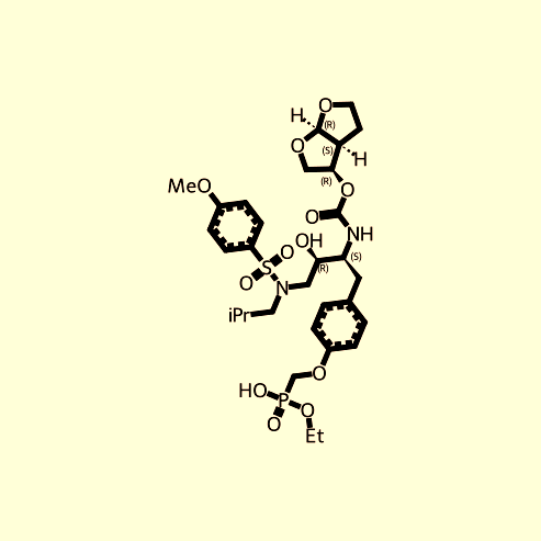 CCOP(=O)(O)COc1ccc(C[C@H](NC(=O)O[C@H]2CO[C@H]3OCC[C@H]32)[C@H](O)CN(CC(C)C)S(=O)(=O)c2ccc(OC)cc2)cc1